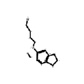 BrCCCCOc1ccc2c(c1)CCC2.CC